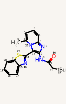 Cc1cccc2nc(NC(=O)CC(C)(C)C)c(-c3nc4ccccc4s3)n12